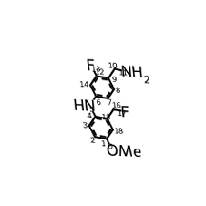 COc1ccc(Nc2ccc(CN)c(F)c2)c(CF)c1